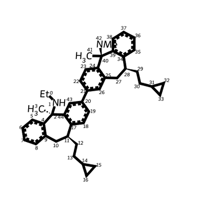 CCN[C@]1(C)c2ccccc2C[C@H](CCC2CC2)c2ccc(-c3ccc4c(c3)C[C@H](CCC3CC3)c3ccccc3[C@]4(C)NC)cc21